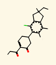 CCC(=O)C1=CCC(c2c(C)c(C)c3c(c2Cl)CC(C)(CC)C3)CC1=O